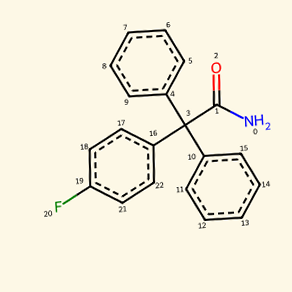 NC(=O)C(c1ccccc1)(c1ccccc1)c1ccc(F)cc1